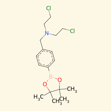 CC1(C)OB(c2ccc(CN(CCCl)CCCl)cc2)OC1(C)C